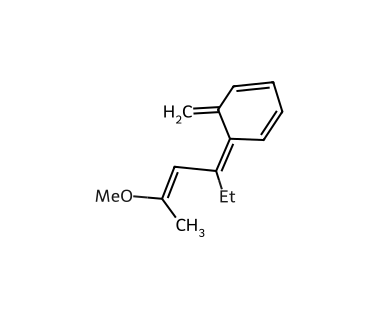 C=c1cccc/c1=C(/C=C(\C)OC)CC